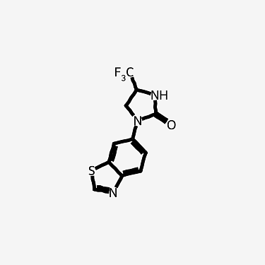 O=C1NC(C(F)(F)F)CN1c1ccc2ncsc2c1